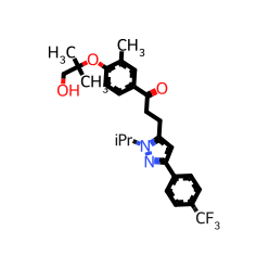 Cc1cc(C(=O)CCc2cc(-c3ccc(C(F)(F)F)cc3)nn2C(C)C)ccc1OC(C)(C)CO